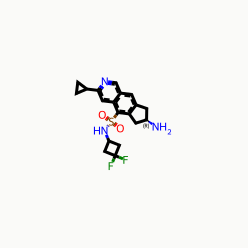 N[C@@H]1Cc2cc3cnc(C4CC4)cc3c(S(=O)(=O)NC3CC(F)(F)C3)c2C1